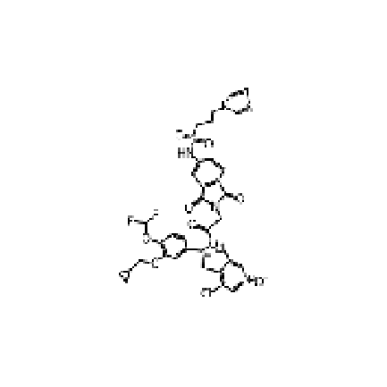 O=C(CN1C(=O)c2ccc(NS(=O)(=O)CCCn3ccnc3)cc2C1=O)O[C@@H](Cc1c(Cl)c[n+]([O-])cc1Cl)c1ccc(OC(F)F)c(OCC2CC2)c1